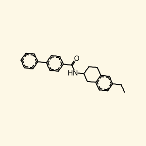 CCc1ccc2c(c1)CCC(NC(=O)c1ccc(-c3ccccc3)cc1)C2